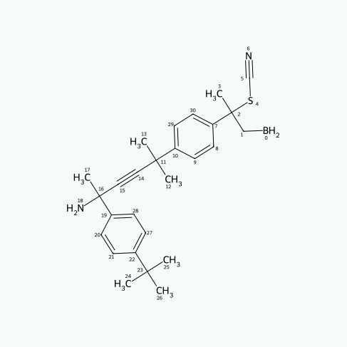 BCC(C)(SC#N)c1ccc(C(C)(C)C#CC(C)(N)c2ccc(C(C)(C)C)cc2)cc1